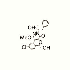 COc1nn(C(C=O)Cc2ccccc2)c(=O)cc1-c1cc(Cl)ccc1C(=O)CO